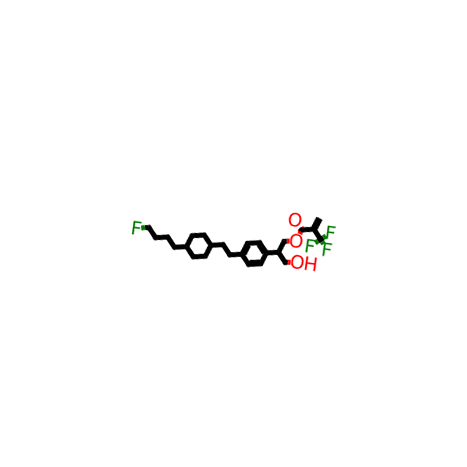 C=C(C(=O)OCC(CO)c1ccc(CCC2CCC(CCCCF)CC2)cc1)C(F)(F)F